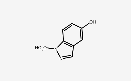 O=C(O)n1ncc2cc(O)ccc21